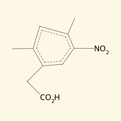 Cc1cc(C)c([N+](=O)[O-])cc1CC(=O)O